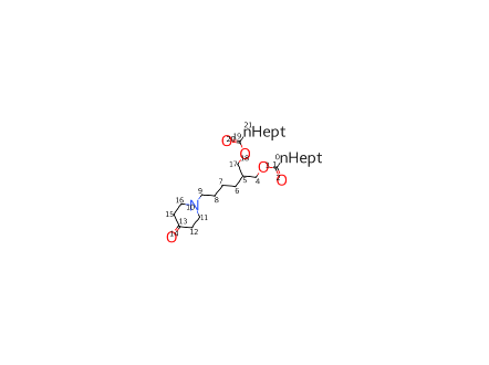 CCCCCCCC(=O)OCC(CCCCN1CCC(=O)CC1)COC(=O)CCCCCCC